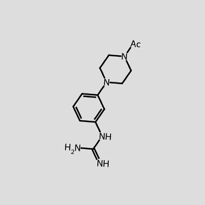 CC(=O)N1CCN(c2cccc(NC(=N)N)c2)CC1